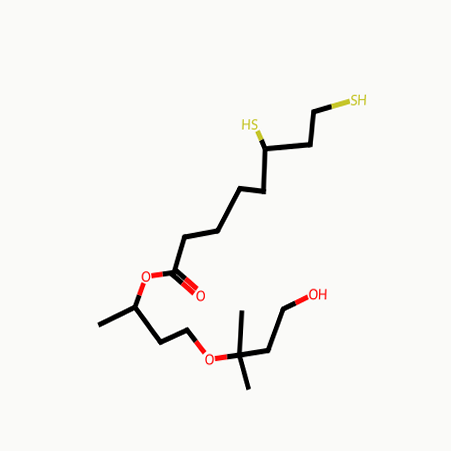 CC(CCOC(C)(C)CCO)OC(=O)CCCCC(S)CCS